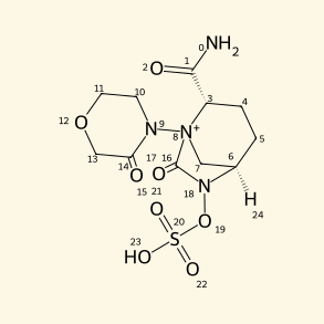 NC(=O)[C@@H]1CC[C@@H]2C[N+]1(N1CCOCC1=O)C(=O)N2OS(=O)(=O)O